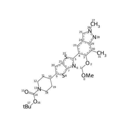 COCOc1c(-c2nc3sc(C4CCN(C(=O)OC(C)(C)C)CC4)cc3s2)cc2cn(C)nc2c1C